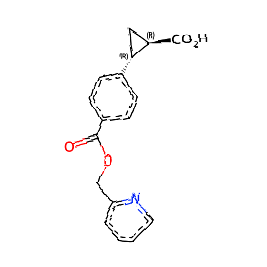 O=C(OCc1ccccn1)c1ccc([C@@H]2C[C@H]2C(=O)O)cc1